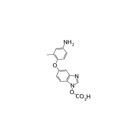 Cc1cc(N)ccc1Oc1ccc2c(c1)ncn2OC(=O)O